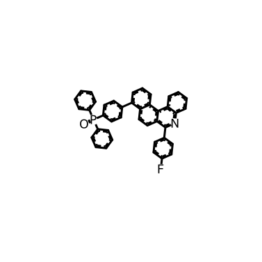 O=P(c1ccccc1)(c1ccccc1)c1ccc(-c2cccc3c2ccc2c(-c4ccc(F)cc4)nc4ccccc4c23)cc1